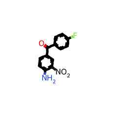 Nc1ccc(C(=O)c2ccc(F)cc2)cc1[N+](=O)[O-]